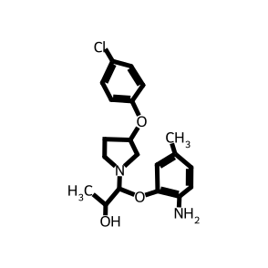 Cc1ccc(N)c(OC(C(C)O)N2CCC(Oc3ccc(Cl)cc3)C2)c1